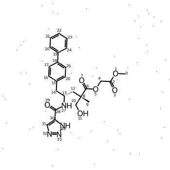 COC(=O)COC(=O)[C@](C)(CO)C[C@@H](Cc1ccc(-c2ccccc2)cc1)NC(=O)c1cnn[nH]1